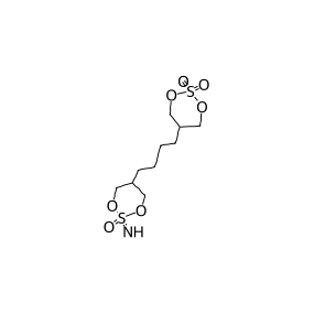 N=S1(=O)OCC(CCCCC2COS(=O)(=O)OC2)CO1